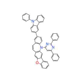 C1=Cc2cc3oc4ccccc4c3cc2N(c2cc(-c3ccccc3)nc(-c3ccccc3)n2)c2ccc(-c3ccc4c(c3)c3ccccc3n4-c3ccccc3)cc21